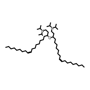 CCCCCCCC/C=C\CCCCCCCC(CCN(C(C)C)C(C)C)OC(CCCCCCC/C=C\CCCCCCCC)CCN(C(C)C)C(C)C